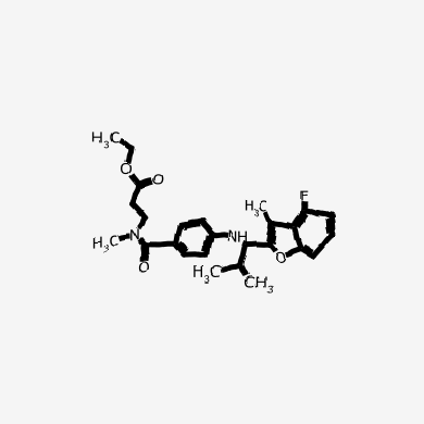 CCOC(=O)CCN(C)C(=O)c1ccc(NC(c2oc3cccc(F)c3c2C)C(C)C)cc1